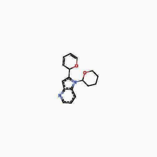 C1=COC(c2cc3ncccc3n2C2CCCCO2)C=C1